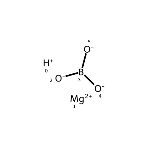 [H+].[Mg+2].[O-]B([O-])[O-]